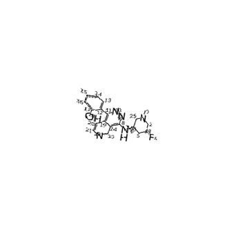 CN1C[C@H](F)C[C@@H](Nc2nnc(-c3ccccc3O)c3ccncc23)C1